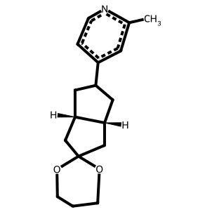 Cc1cc(C2C[C@@H]3CC4(C[C@@H]3C2)OCCCO4)ccn1